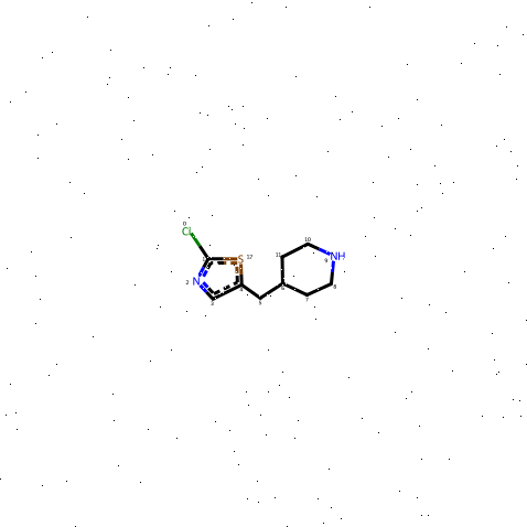 Clc1ncc(CC2CCNCC2)s1